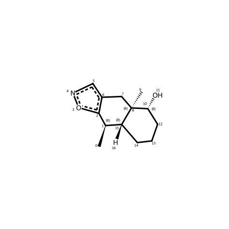 C[C@H]1c2oncc2C[C@@]2(C)[C@H](O)CCC[C@H]12